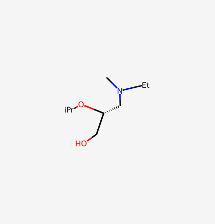 CCN(C)C[C@H](CO)OC(C)C